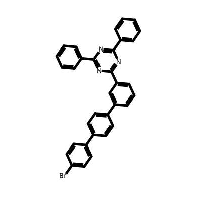 Brc1ccc(-c2ccc(-c3cccc(-c4nc(-c5ccccc5)nc(-c5ccccc5)n4)c3)cc2)cc1